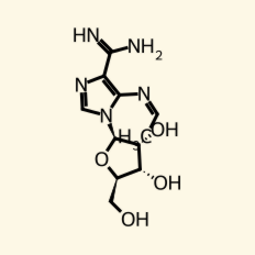 C/C=N\c1c(C(=N)N)ncn1[C@@H]1O[C@H](CO)[C@@H](O)[C@H]1O